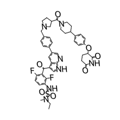 CCN(C)S(=O)(=O)Nc1ccc(F)c(C(=O)c2c[nH]c3ncc(-c4ccc(CN5CCC(C(=O)N6CCC(c7ccc(OC8CCC(=O)NC8=O)cc7)CC6)C5)cc4)cc23)c1F